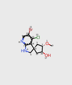 CO[C@H]1C[C@]2(CNc3ncc(Br)c(Cl)c32)C[C@@H]1O